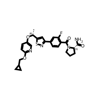 C[C@@H](Oc1ccc(OCC2CC2)nc1)c1cc(-c2ccc(C(=O)N3CCC[C@H]3C(N)=O)c(F)c2)ns1